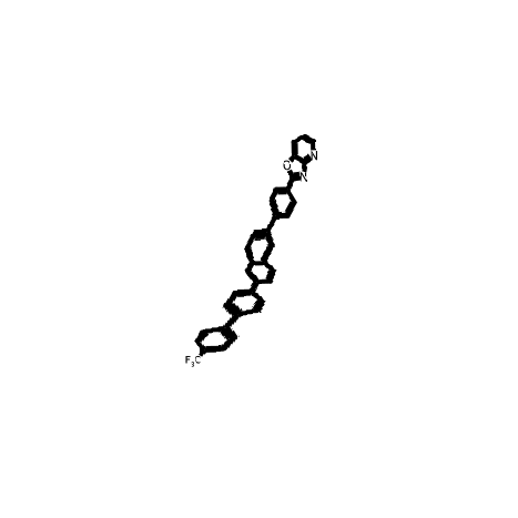 FC(F)(F)c1ccc(-c2ccc(-c3ccc4cc(-c5ccc(-c6nc7ncccc7o6)cc5)ccc4c3)cc2)cc1